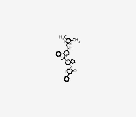 Cc1cc(C)nc(CN[C@@H]2CCN(C(=O)N3CC[C@@H](Cn4cnc(-c5ccccc5)cc4=O)C4(CCCC4)C3)[C@H](c3ccccc3)C2)n1